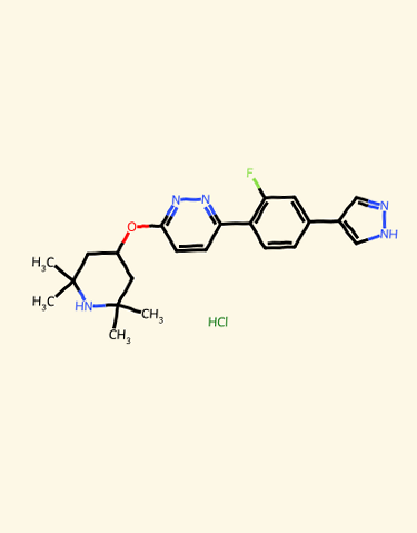 CC1(C)CC(Oc2ccc(-c3ccc(-c4cn[nH]c4)cc3F)nn2)CC(C)(C)N1.Cl